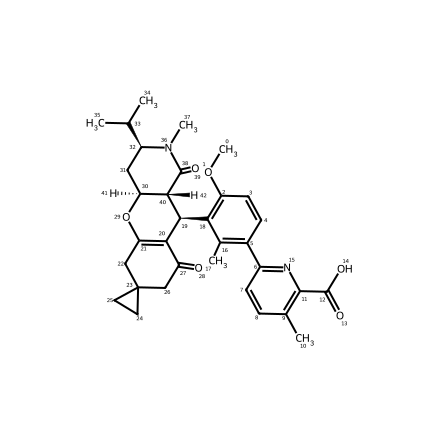 COc1ccc(-c2ccc(C)c(C(=O)O)n2)c(C)c1[C@H]1C2=C(CC3(CC3)CC2=O)O[C@H]2C[C@@H](C(C)C)N(C)C(=O)[C@@H]21